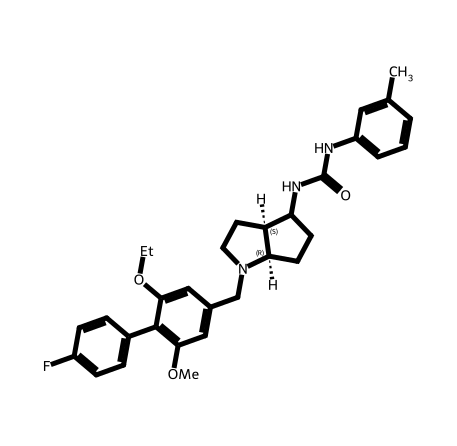 CCOc1cc(CN2CC[C@H]3C(NC(=O)Nc4cccc(C)c4)CC[C@H]32)cc(OC)c1-c1ccc(F)cc1